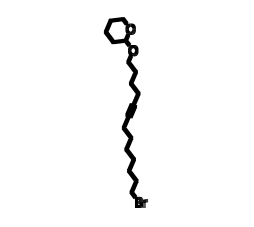 BrCCCCCCCC#CCCCCOC1CCCCO1